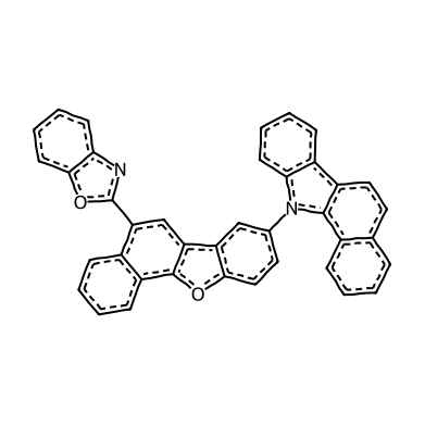 c1ccc2c(c1)ccc1c3ccccc3n(-c3ccc4oc5c6ccccc6c(-c6nc7ccccc7o6)cc5c4c3)c21